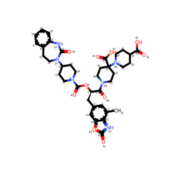 Cc1cc(C[C@@H](OC(=O)N2CCC(N3CCc4ccccc4NC3=O)CC2)C(=O)N2CCC(C(=O)O)([N+]3CCC(C(=O)O)CC3)CC2)cc2oc(=O)[nH]c12